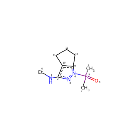 CCNc1nn(P(C)(C)=O)c2c1CCC2